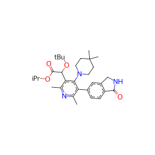 Cc1nc(C)c(C(OC(C)(C)C)C(=O)OC(C)C)c(N2CCC(C)(C)CC2)c1-c1ccc2c(c1)CNC2=O